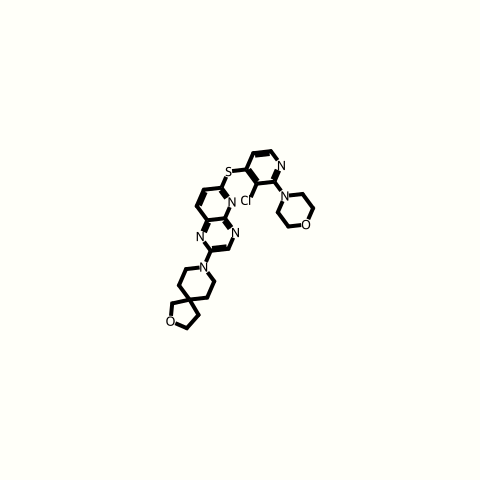 Clc1c(Sc2ccc3nc(N4CCC5(CCOC5)CC4)cnc3n2)ccnc1N1CCOCC1